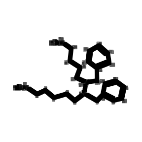 CCCCCCCCCCCCCCCN(Cc1ccccc1)N(CCCCCCCCCCCCCC)Cc1ccccc1